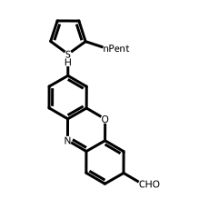 CCCCCC1=CC=C[SH]1c1ccc2c(c1)OC1=CC(C=O)C=CC1=N2